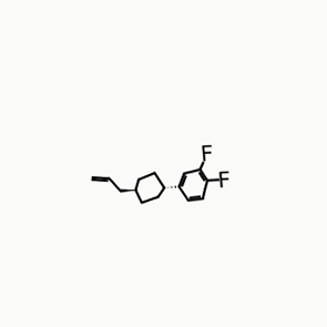 C=CC[C@H]1CC[C@H](c2ccc(F)c(F)c2)CC1